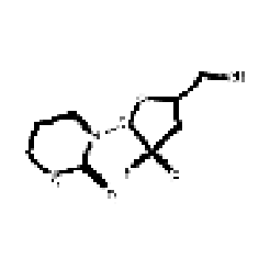 O=C1NCCCN1[C@@H]1OC(CO)CC1(F)F